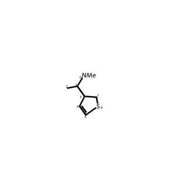 CNC(C)C1C=CSC1